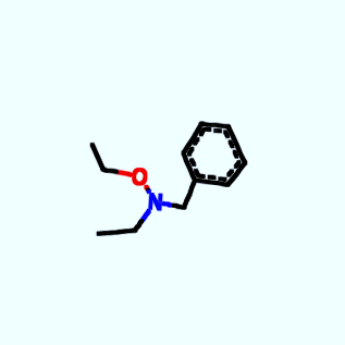 CCON(CC)Cc1ccccc1